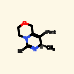 CCCC(C)C1=C2COCCN2C(CC)=N[C@H]1C